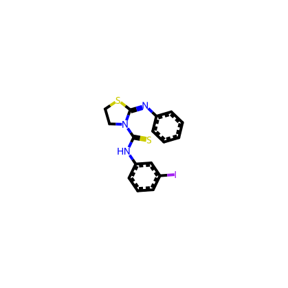 S=C(Nc1cccc(I)c1)N1CCS/C1=N/c1ccccc1